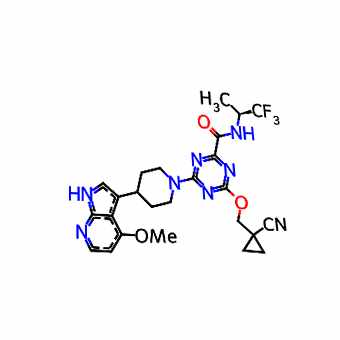 COc1ccnc2[nH]cc(C3CCN(c4nc(OCC5(C#N)CC5)nc(C(=O)N[C@@H](C)C(F)(F)F)n4)CC3)c12